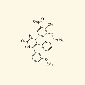 CCOc1cc(C2NC(=O)NC(c3cccc(OC)c3)=C2c2ccccc2)cc([N+](=O)[O-])c1O